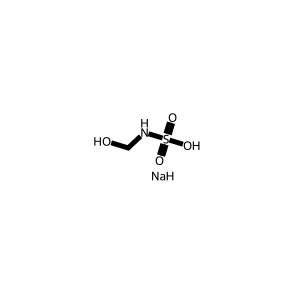 O=S(=O)(O)NCO.[NaH]